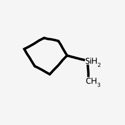 C[SiH2][C]1CCCCC1